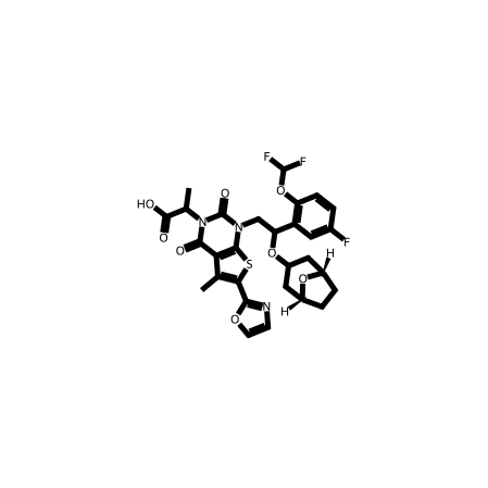 Cc1c(-c2ncco2)sc2c1c(=O)n(C(C)C(=O)O)c(=O)n2CC(OC1C[C@H]2CC[C@@H](C1)O2)c1cc(F)ccc1OC(F)F